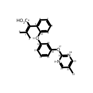 CC(C)=C(C(=O)O)c1ccccc1Oc1cccc(Oc2ncc(C)cn2)c1